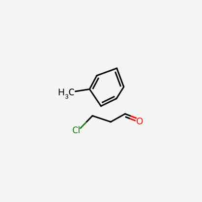 Cc1ccccc1.O=CCCCl